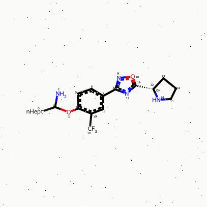 CCCCCCCC(N)Oc1ccc(-c2noc([C@@H]3CCCN3)n2)cc1C(F)(F)F